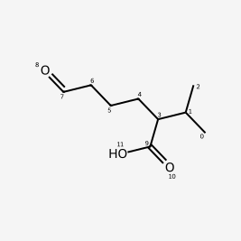 CC(C)C(CCCC=O)C(=O)O